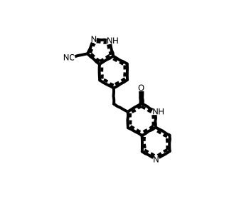 N#Cc1n[nH]c2ccc(Cc3cc4cnccc4[nH]c3=O)cc12